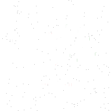 C=CCOC(F)(F)C(F)(F)C(F)(F)F.O=C(O)O